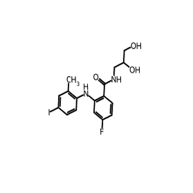 Cc1cc(I)ccc1Nc1cc(F)ccc1C(=O)NCC(O)CO